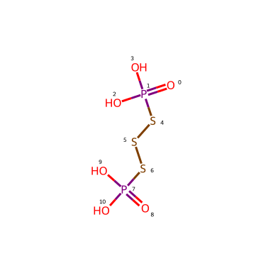 O=P(O)(O)SSSP(=O)(O)O